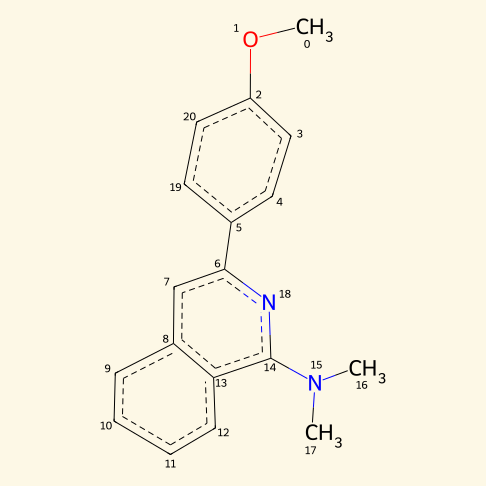 COc1ccc(-c2cc3ccccc3c(N(C)C)n2)cc1